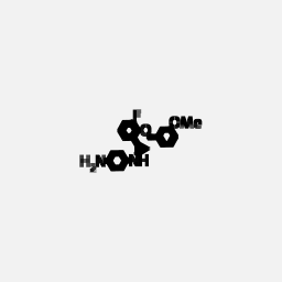 COC1C=CC=C(COc2c(F)cccc2C2CC2NC2CCC(N)CC2)C1